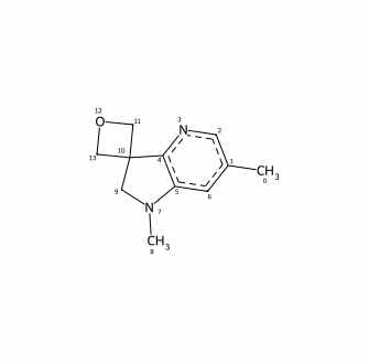 Cc1cnc2c(c1)N(C)CC21COC1